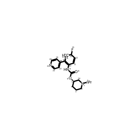 CCCN1CCC[C@@H](OC(=O)NC(/C=C\C(C)F)=C(/CC)c2ccncc2)C1